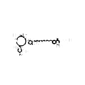 CCCn1cc(C(=O)O)c(=O)c2cc(CCCOCCOCCC(=O)O[C@H]3[C@H](C)O[C@@H](O[C@H]4[C@H](C)[C@@H](O[C@@H]5O[C@H](C)C[C@H](N(C)C)[C@H]5O)[C@](C)(O)C[C@@H](C)CN(C)[C@H](C)[C@@H](O)[C@](C)(O)[C@@H](CC)OC(=O)[C@@H]4C)C[C@@]3(C)OC)ccc21